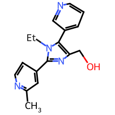 CCn1c(-c2ccnc(C)c2)nc(CO)c1-c1cccnc1